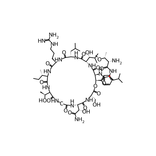 CC[C@H](C)C1NC(=O)[C@@H](CCCNC(=N)N)NC(=O)[C@H](CC(C)C)NC(=O)[C@H]([C@H](O)C(C)C)NC(=O)[C@@H](NC(=O)[C@H](CC(C)C)NC(=O)[C@@H](N)[C@@H](C)OC)[C@@H](c2ccccc2)OC(=O)[C@H](CO)NC(=O)[C@H]([C@H](O)C(N)=O)NC(=O)CNC(=O)C([C@H](C)O)NC1=O